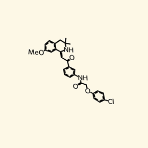 COc1ccc2c(c1)C(=CC(=O)c1cccc(NC(=O)COc3ccc(Cl)cc3)c1)NC(C)(C)C2